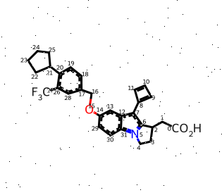 O=C(O)CC1CCn2c1c(C1=CC=C1)c1cc(OCc3ccc(C4CCCC4)c(C(F)(F)F)c3)ccc12